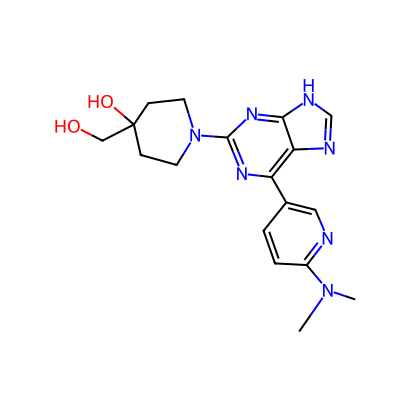 CN(C)c1ccc(-c2nc(N3CCC(O)(CO)CC3)nc3[nH]cnc23)cn1